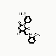 Cc1cccc(N2C(=O)NC(=O)/C(=C/Nc3ccccc3C)C2=O)c1